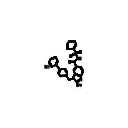 CCCc1nc2ccc(C(=O)NS(=O)(=O)c3ccccc3)cc2n1Cc1ccc(-c2ccccc2)cc1.[KH]